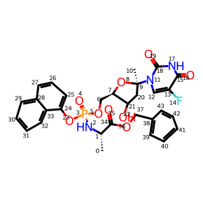 C[C@H](NP(=O)(OC[C@H]1O[C@@](C)(n2cc(F)c(=O)[nH]c2=O)CC1O)Oc1cccc2ccccc12)C(=O)OCc1ccccc1